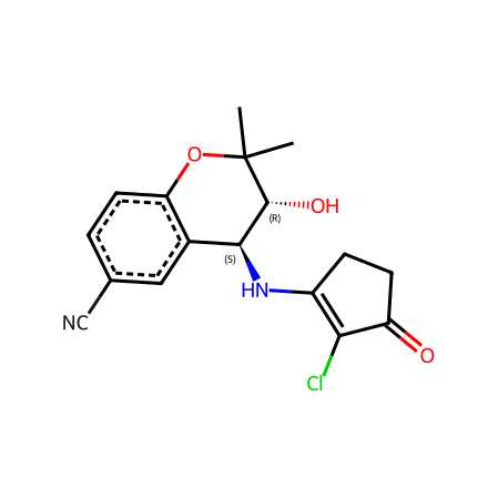 CC1(C)Oc2ccc(C#N)cc2[C@H](NC2=C(Cl)C(=O)CC2)[C@H]1O